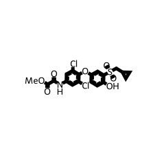 COC(=O)C(=O)Nc1cc(Cl)c(Oc2ccc(O)c(S(=O)(=O)CC3CC3)c2)c(Cl)c1